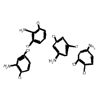 Nc1c(Cl)cccc1Cl.Nc1cc(Cl)cc(Cl)c1.Nc1cc(Cl)ccc1Cl.Nc1ccc(Cl)c(Cl)c1